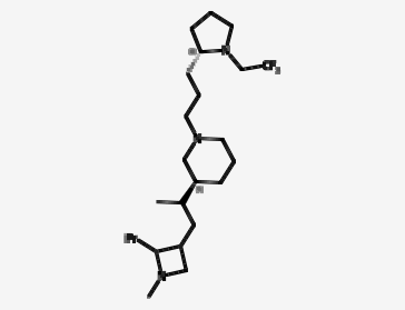 CC(C)C1C(CC(C)[C@@H]2CCCN(CCC[C@@H]3CCCN3CC(F)(F)F)C2)CN1C